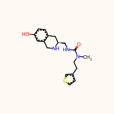 CN(CCc1ccsc1)C(=O)NC[C@@H]1Cc2ccc(O)cc2CN1